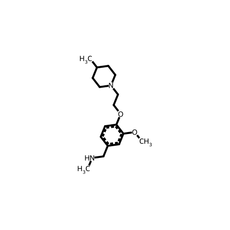 CNCc1ccc(OCCN2CCC(C)CC2)c(OC)c1